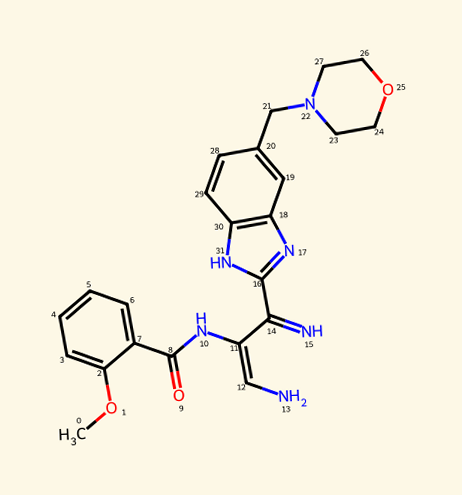 COc1ccccc1C(=O)N/C(=C/N)C(=N)c1nc2cc(CN3CCOCC3)ccc2[nH]1